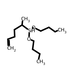 C=CCCC(C)[SiH](OCCCC)OCCCC